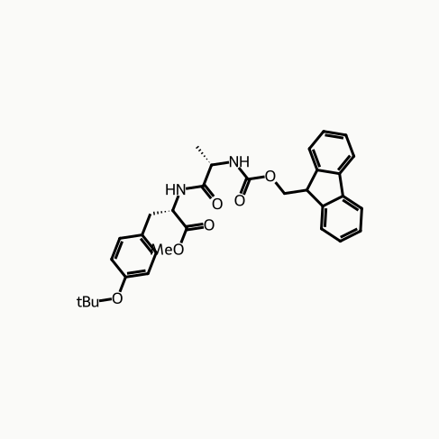 COC(=O)[C@H](Cc1ccc(OC(C)(C)C)cc1)NC(=O)[C@H](C)NC(=O)OCC1c2ccccc2-c2ccccc21